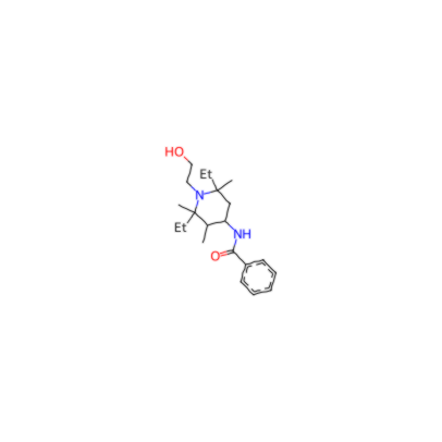 CCC1(C)CC(NC(=O)c2ccccc2)C(C)C(C)(CC)N1CCO